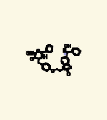 COC(=O)C(Cc1ccc(OCCn2c(=O)sc3cc(/C(=N/O)c4ccccc4)ccc32)cc1)NC(=O)c1ccccc1